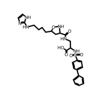 O=C(O)C(CNC(=O)C1CC(CCCCNc2ncc[nH]2)ON1)NS(=O)(=O)c1ccc(-c2ccccc2)cc1